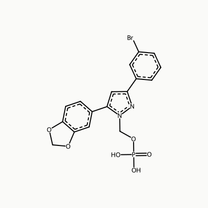 O=P(O)(O)OCn1nc(-c2cccc(Br)c2)cc1-c1ccc2c(c1)OCO2